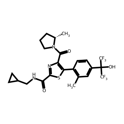 Cc1cc(C(O)(C(F)(F)F)C(F)(F)F)ccc1-c1sc(C(=O)NCC2CC2)nc1C(=O)N1CCC[C@@H]1C